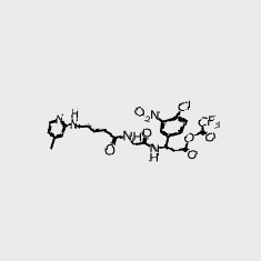 Cc1ccnc(NCCCCC(=O)NCC(=O)NC(CC(=O)OC(=O)C(F)(F)F)c2ccc(Cl)c([N+](=O)[O-])c2)c1